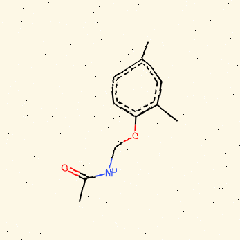 CC(=O)NCOc1ccc(C)cc1C